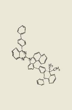 CC1(C)c2ccccc2N(c2ccccc2)c2cc(-c3cccc4c3c3c5ccccc5ccc3n4-c3nc(-c4ccc(-c5ccccc5)cc4)c4ccccc4n3)ccc21